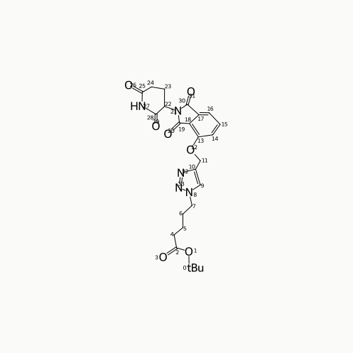 CC(C)(C)OC(=O)CCCCn1cc(COc2cccc3c2C(=O)N(C2CCC(=O)NC2=O)C3=O)nn1